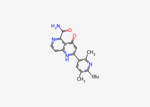 Cc1cc(-c2cc(=O)c3c(C(N)=O)nccc3[nH]2)c(C)nc1C(C)(C)C